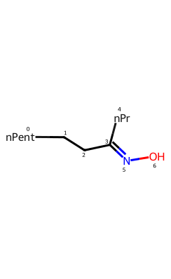 CCCCCCC/C(CCC)=N/O